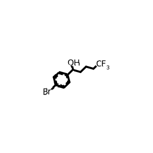 OC(CCCC(F)(F)F)c1ccc(Br)cc1